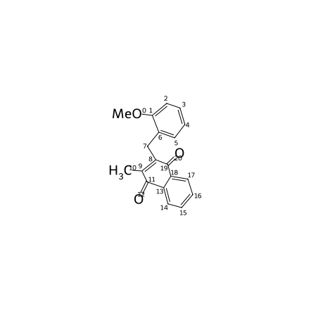 COc1ccccc1CC1=C(C)C(=O)c2ccccc2C1=O